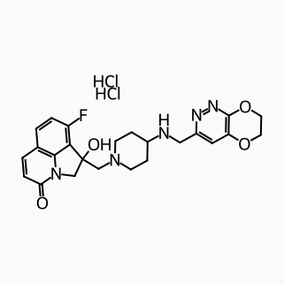 Cl.Cl.O=c1ccc2ccc(F)c3c2n1CC3(O)CN1CCC(NCc2cc3c(nn2)OCCO3)CC1